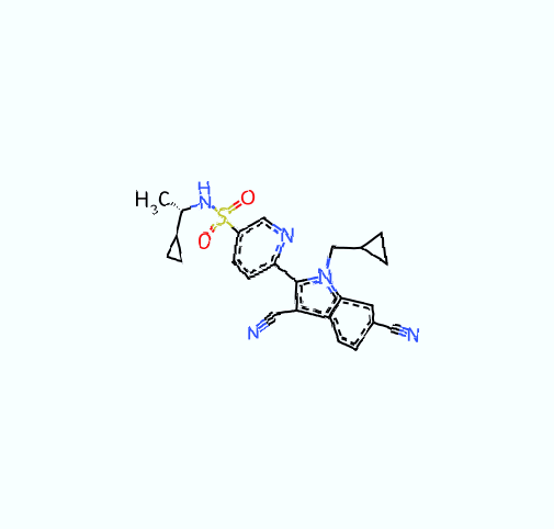 C[C@H](NS(=O)(=O)c1ccc(-c2c(C#N)c3ccc(C#N)cc3n2CC2CC2)nc1)C1CC1